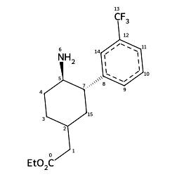 CCOC(=O)CC1CC[C@@H](N)[C@H](c2cccc(C(F)(F)F)c2)C1